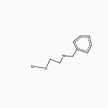 CCOCC[N]Cc1ccccc1